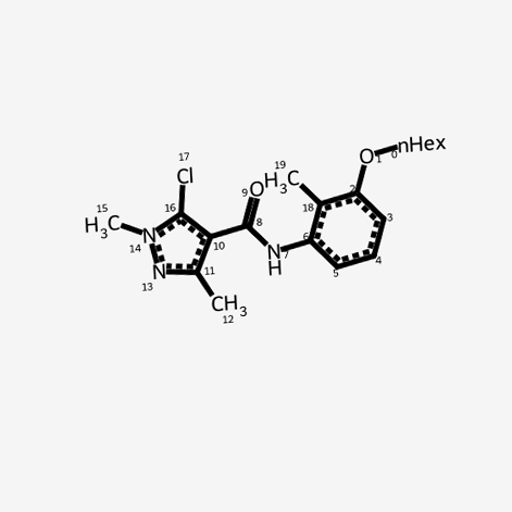 CCCCCCOc1cccc(NC(=O)c2c(C)nn(C)c2Cl)c1C